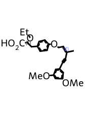 CCO[C@@H](Cc1ccc(OC/C=C(/C)C#Cc2cc(OC)cc(OC)c2)cc1)C(=O)O